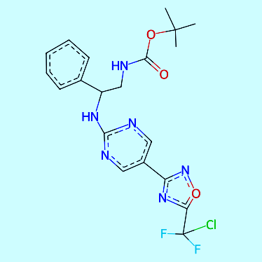 CC(C)(C)OC(=O)NCC(Nc1ncc(-c2noc(C(F)(F)Cl)n2)cn1)c1ccccc1